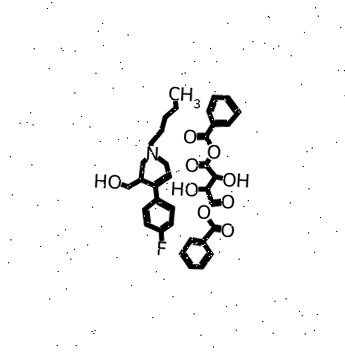 CCCCCN1CC=C(c2ccc(F)cc2)C(CO)C1.O=C(OC(=O)C(O)C(O)C(=O)OC(=O)c1ccccc1)c1ccccc1